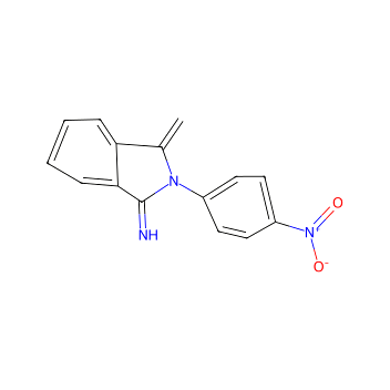 C=C1c2ccccc2C(=N)N1c1ccc([N+](=O)[O-])cc1